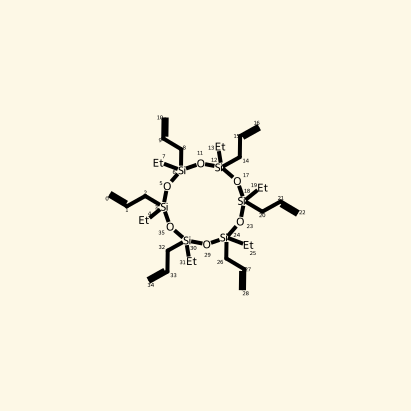 C=CC[Si]1(CC)O[Si](CC)(CC=C)O[Si](CC)(CC=C)O[Si](CC)(CC=C)O[Si](CC)(CC=C)O[Si](CC)(CC=C)O1